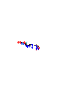 CNC(=O)N(CCC=O)c1cc(SNCCCCCNCc2ccc(-c3cc4c(-c5cc(F)cc(NC(=O)c6ccc(C(C)(C)O)cc6F)c5C)ncnc4[nH]3)cc2)ccc1C